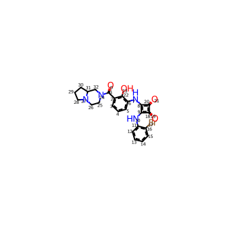 O=C(c1cccc(Nc2c(Nc3ccccc3Br)c(=O)c2=O)c1O)N1CCN2CCCC2C1